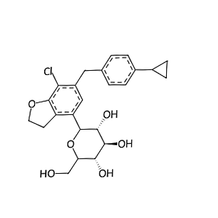 OCC1OC(c2cc(Cc3ccc(C4CC4)cc3)c(Cl)c3c2CCO3)[C@H](O)[C@@H](O)[C@@H]1O